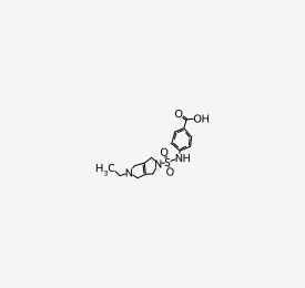 CCN1CC2=C(C1)CN(S(=O)(=O)Nc1ccc(C(=O)O)cc1)C2